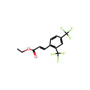 CCOC(=O)C=Cc1ccc(C(F)(F)F)cc1C(F)(F)F